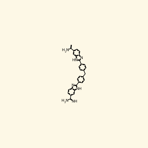 C=C(N)c1ccc2nc(-c3ccc(Cc4ccc(-c5nc6ccc(C(=N)N)cc6[nH]5)cc4)cc3)[nH]c2c1